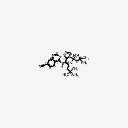 CC(C)(C)CCC(Nc1ncnc2cc(C#N)ccc12)c1nnnn1C(C)(C)CC(C)(C)C